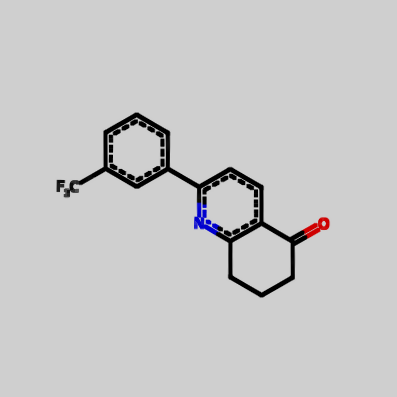 O=C1CCCc2nc(-c3cccc(C(F)(F)F)c3)ccc21